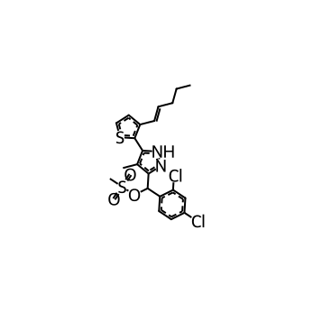 CCC/C=C/c1ccsc1-c1[nH]nc(C(OS(C)(=O)=O)c2ccc(Cl)cc2Cl)c1C